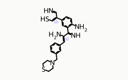 N=C/C(=C\S)c1ccc(N)c(C(=N)/C(N)=C/c2cccc(CN3CCSCC3)c2)c1